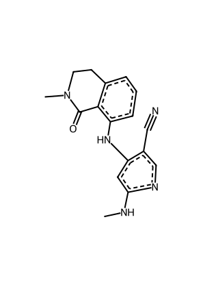 CNc1cc(Nc2cccc3c2C(=O)N(C)CC3)c(C#N)cn1